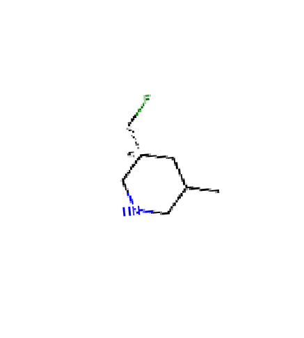 CC1CNC[C@H](CF)C1